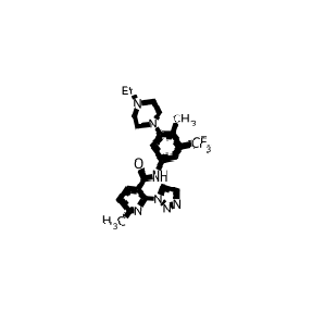 CCN1CCN(c2cc(NC(=O)c3ccc(C)nc3-n3ccnn3)cc(C(F)(F)F)c2C)CC1